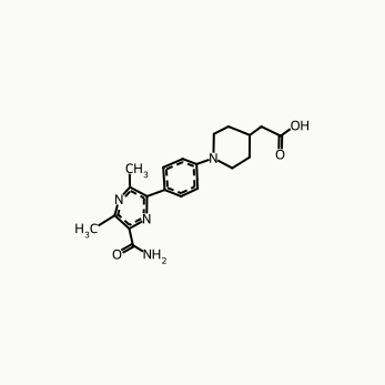 Cc1nc(C)c(-c2ccc(N3CCC(CC(=O)O)CC3)cc2)nc1C(N)=O